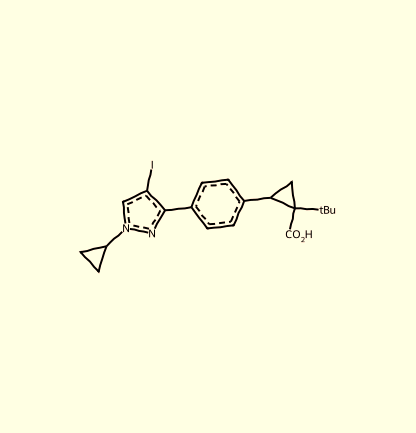 CC(C)(C)C1(C(=O)O)CC1c1ccc(-c2nn(C3CC3)cc2I)cc1